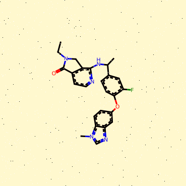 CCN1Cc2c(ccnc2NC(C)c2ccc(Oc3ccc4c(c3)ncn4C)c(F)c2)C1=O